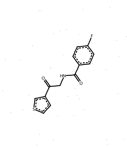 O=C(CNC(=O)c1ccc(F)cc1)c1ccsc1